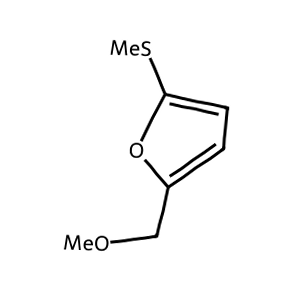 COCc1ccc(SC)o1